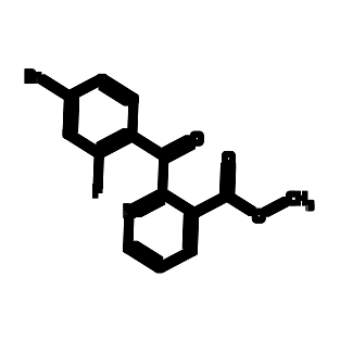 COC(=O)c1cccnc1C(=O)c1ccc(Br)cc1F